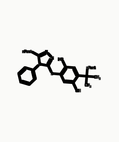 CCCCCc1nnc(Sc2cc(O)c(C(C)(C)CCCCC)cc2O)n1-c1ccccc1